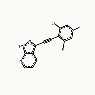 Fc1cc(F)c(C#Cc2n[nH]c3ncccc23)c(Cl)c1